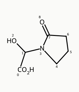 O=C(O)C(O)N1CCCC1=O